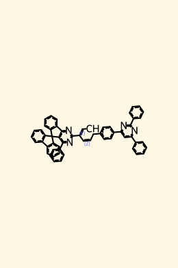 C/C=C(\C=C/Cc1ccc(-c2cc(-c3ccccc3)nc(-c3ccccc3)n2)cc1)c1nc(-c2ccccc2)c2c(n1)-c1ccccc1C21c2ccccc2-c2ccccc21